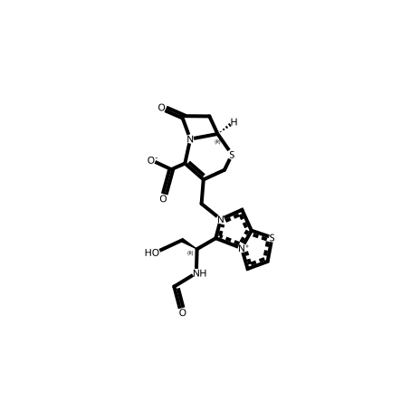 O=CN[C@@H](CO)c1n(CC2=C(C(=O)[O-])N3C(=O)C[C@H]3SC2)cc2scc[n+]12